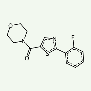 O=C(c1cnc(-c2ccccc2F)s1)N1CCOCC1